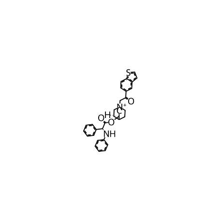 O=C(C[N+]12CCC(CC1)[C@@H](OC(=O)[C@H](Nc1ccccc1)c1ccccc1)C2)c1ccc2sccc2c1